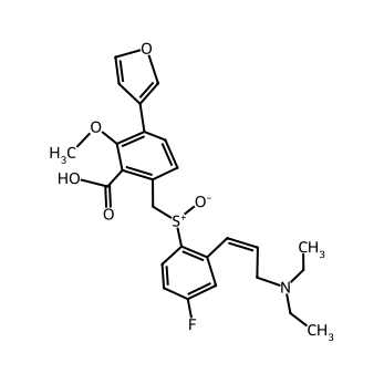 CCN(CC)C/C=C\c1cc(F)ccc1[S+]([O-])Cc1ccc(-c2ccoc2)c(OC)c1C(=O)O